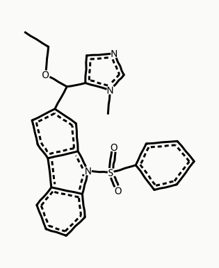 CCOC(c1ccc2c3ccccc3n(S(=O)(=O)c3ccccc3)c2c1)c1cncn1C